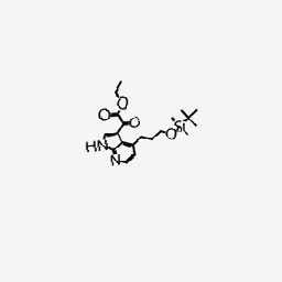 CCOC(=O)C(=O)c1c[nH]c2nccc(CCCO[Si](C)(C)C(C)(C)C)c12